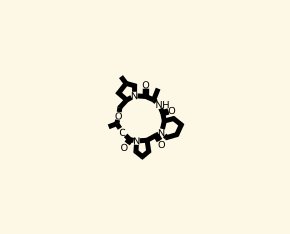 CC1CC2COC(C)CC(=O)N3CCCC3C(=O)N3CCCCC3C(=O)NC(C)C(=O)N2C1